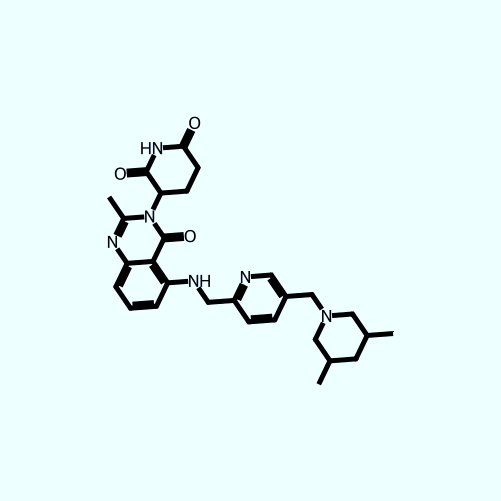 Cc1nc2cccc(NCc3ccc(CN4CC(C)CC(C)C4)cn3)c2c(=O)n1C1CCC(=O)NC1=O